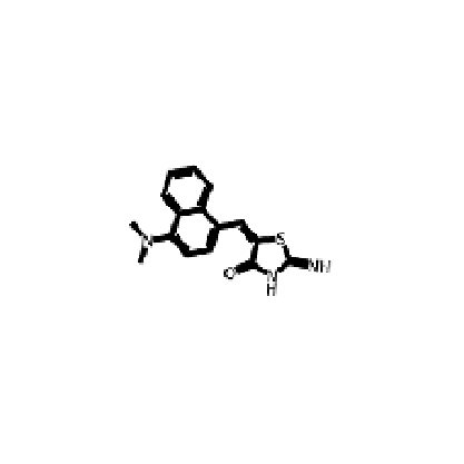 CN(C)c1ccc(C=C2SC(=N)NC2=O)c2ccccc12